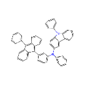 c1ccc(-c2c3ccccc3c(-c3cccc(N(c4ccccc4)c4ccc5c(c4)c4ccccc4n5-c4ccccc4)c3)c3ccccc23)cc1